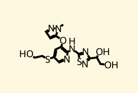 Cn1nccc1Oc1cc(SCCO)cnc1Nc1nc(C(O)CO)ns1